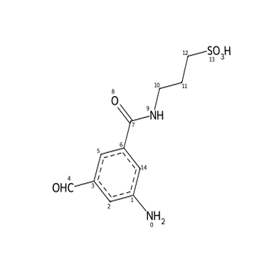 Nc1cc(C=O)cc(C(=O)NCCCS(=O)(=O)O)c1